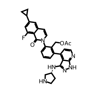 CC(=O)OCc1c(-c2ccnc3[nH]nc(N[C@@H]4CCNC4)c23)cccc1-n1ccc2cc(C3CC3)cc(F)c2c1=O